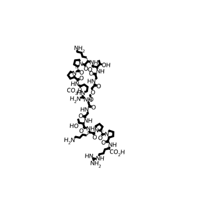 CC(O)C(NC(=O)CNC(=O)COCOCC(=O)NCC(=O)NC(C(=O)N[C@@H](CCCCN)C(=O)N1CCC[C@H]1C(=O)N1CCCC1C(=O)N[C@H](CCCNC(=N)N)C(=O)O)C(C)O)C(=O)N[C@@H](CCCCN)C(=O)N1CCC[C@H]1C(=O)N1CCCC1C(=O)N[C@@H](CCCNC(=N)N)C(=O)O